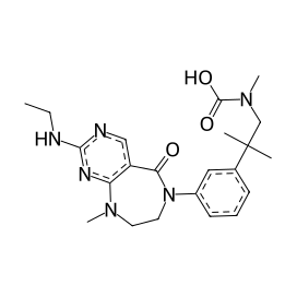 CCNc1ncc2c(n1)N(C)CCN(c1cccc(C(C)(C)CN(C)C(=O)O)c1)C2=O